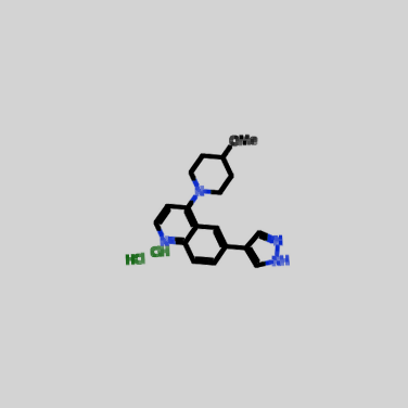 COC1CCN(c2ccnc3ccc(-c4cn[nH]c4)cc23)CC1.Cl.Cl